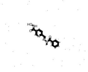 CN(/N=C/c1ccc(C(=O)NO)cn1)C(=O)c1ccccc1